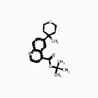 CC(C)(C)OC(=O)c1ccnc2ccc(C3(C)CCOCC3)cc12